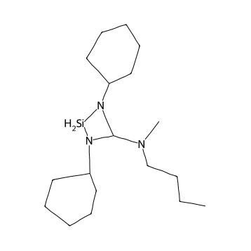 CCCCN(C)C1N(C2CCCCC2)[SiH2]N1C1CCCCC1